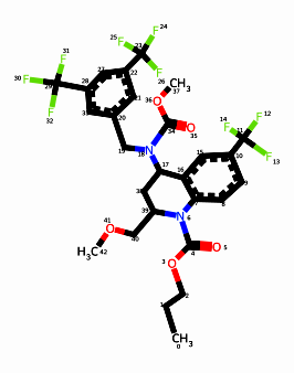 CCCOC(=O)N1c2ccc(C(F)(F)F)cc2C(N(Cc2cc(C(F)(F)F)cc(C(F)(F)F)c2)C(=O)OC)CC1COC